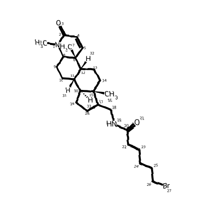 CN1C(=O)C=C[C@@]2(C)C1CC[C@@H]1[C@H]2CC[C@]2(C)C(CNC(=O)CCCCCBr)CC[C@@H]12